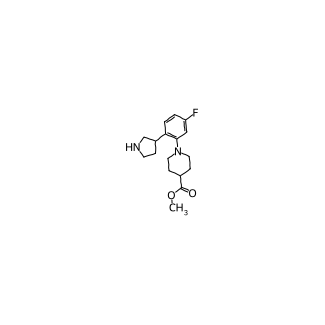 COC(=O)C1CCN(c2cc(F)ccc2C2CCNC2)CC1